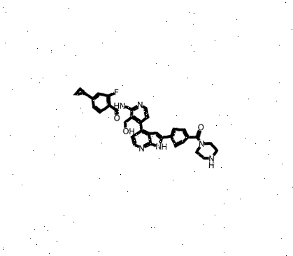 O=C(Nc1nccc(-c2ccnc3[nH]c(-c4ccc(C(=O)N5CCNCC5)cc4)cc23)c1CO)c1ccc(C2CC2)cc1F